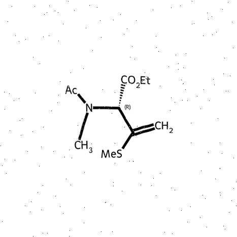 C=C(SC)[C@@H](C(=O)OCC)N(C)C(C)=O